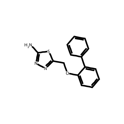 Nc1nnc(COc2ccccc2-c2ccccc2)s1